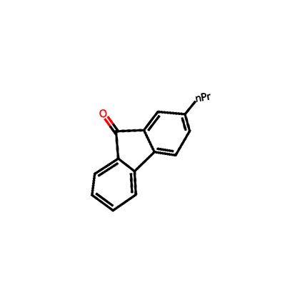 CCCc1ccc2c(c1)C(=O)c1ccccc1-2